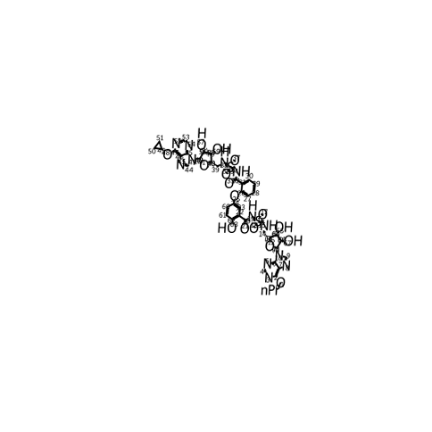 CCCOc1ncnc2c1ncn2[C@@H]1O[C@H](CNS(=O)(=O)NC(=O)c2cc(Oc3ccccc3C(=O)NS(=O)(=O)NC[C@H]3O[C@@H](n4cnc5c(OC6CC6)ncnc54)[C@H](O)[C@@H]3O)ccc2O)[C@@H](O)[C@H]1O